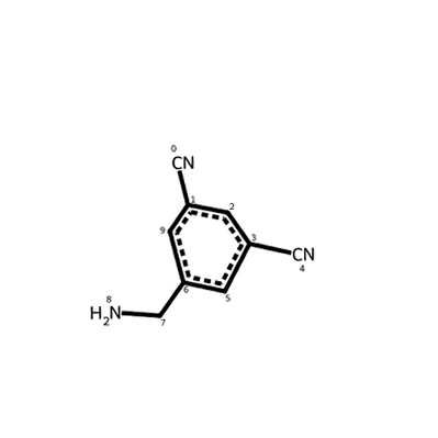 N#Cc1cc(C#N)cc(CN)c1